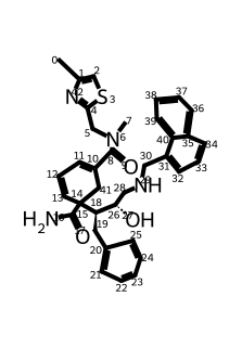 Cc1csc(CN(C)C(=O)C2=CC=CC(C(N)=O)([C@H](Cc3ccccc3)[C@@H](O)CNCc3cccc4ccccc34)C2)n1